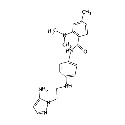 Cc1ccc(C(=O)Nc2ccc(NCCn3nccc3N)cc2)c(N(C)C)c1